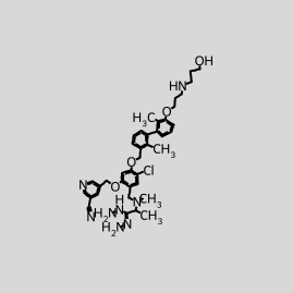 Cc1c(COc2cc(OCc3cncc(C#N)c3)c(CN(C)C(C)/C(=N/N)NN)cc2Cl)cccc1-c1cccc(OCCCNCCCO)c1C